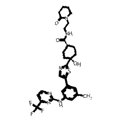 Cc1cc(Nc2nccc(C(F)(F)F)n2)cc(-c2cnc([C@]3(O)CC[C@@H](C(=O)NCCN4CCCCC4=O)CC3)s2)c1